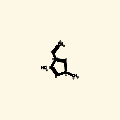 C=C[n+]1ccn(C)c1.Cl